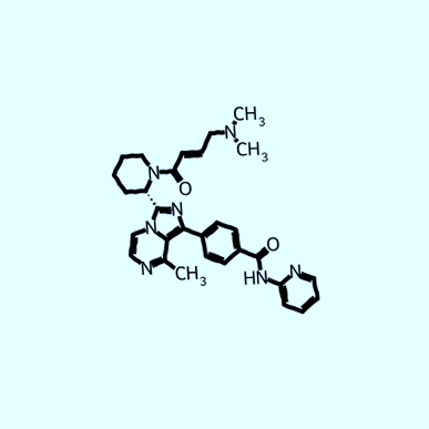 Cc1nccn2c([C@@H]3CCCCN3C(=O)/C=C/CN(C)C)nc(-c3ccc(C(=O)Nc4ccccn4)cc3)c12